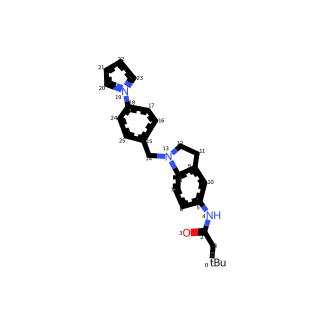 CC(C)(C)CC(=O)Nc1ccc2c(c1)CCN2Cc1ccc(-n2cccc2)cc1